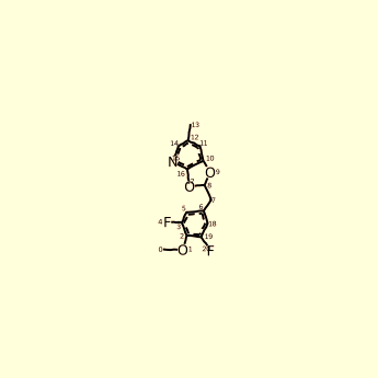 COc1c(F)cc(CC2Oc3cc(C)cnc3O2)cc1F